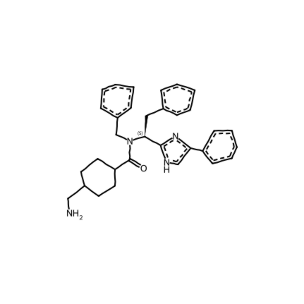 NCC1CCC(C(=O)N(Cc2ccccc2)[C@@H](Cc2ccccc2)c2nc(-c3ccccc3)c[nH]2)CC1